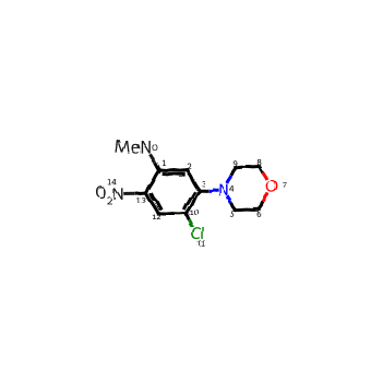 CNc1cc(N2CCOCC2)c(Cl)cc1[N+](=O)[O-]